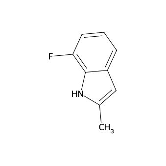 Cc1cc2cccc(F)c2[nH]1